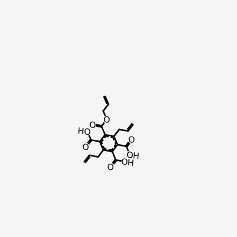 C=CCOC(=O)c1c(CC=C)c(C(=O)O)c(C(=O)O)c(CC=C)c1C(=O)O